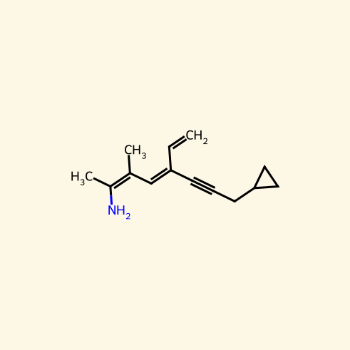 C=C/C(C#CCC1CC1)=C\C(C)=C(\C)N